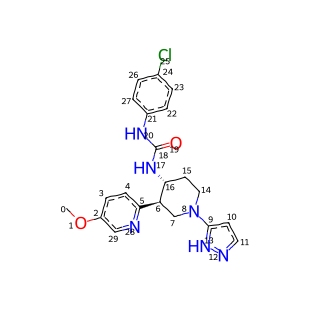 COc1ccc([C@@H]2CN(c3ccn[nH]3)CC[C@H]2NC(=O)Nc2ccc(Cl)cc2)nc1